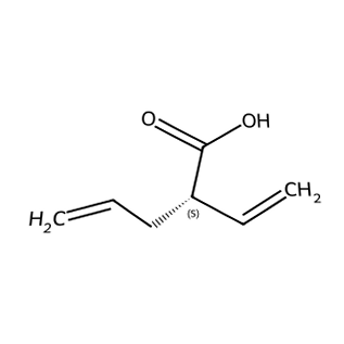 C=CC[C@@H](C=C)C(=O)O